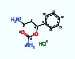 Cl.NCCC(OC(N)=O)c1ccccc1